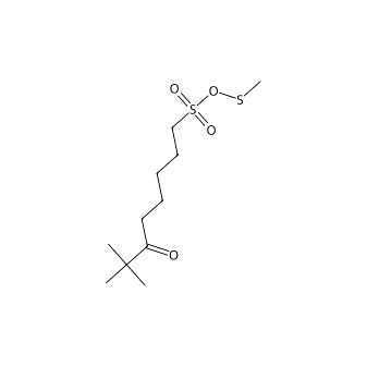 CSOS(=O)(=O)CCCCCC(=O)C(C)(C)C